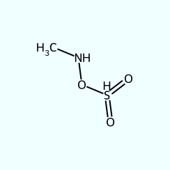 CNO[SH](=O)=O